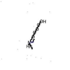 C=CNCC(C)/N=C(\C=C/CC)CCCOCCOCCOCCOCCO